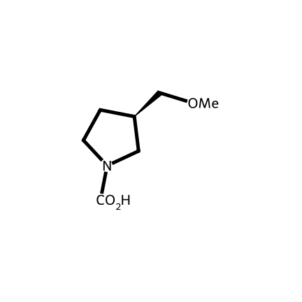 COC[C@@H]1CCN(C(=O)O)C1